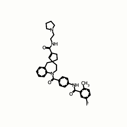 Cc1ccc(F)cc1C(=O)Nc1ccc(C(=O)N2CCC3(C=C(C(=O)NCCN4CCCC4)CC3)Cc3ccccc32)cc1